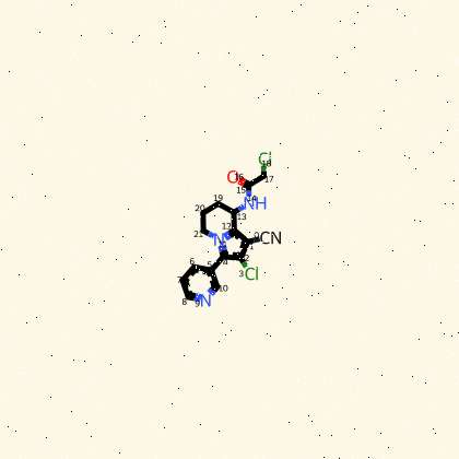 N#Cc1c(Cl)c(-c2cccnc2)n2c1C(NC(=O)CCl)CCC2